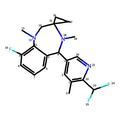 Cc1cc(C2c3cccc(F)c3N(C)CC3(CC3)N2C)cnc1C(F)F